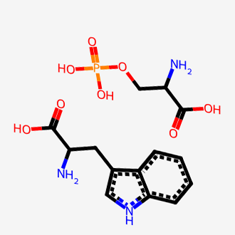 NC(COP(=O)(O)O)C(=O)O.NC(Cc1c[nH]c2ccccc12)C(=O)O